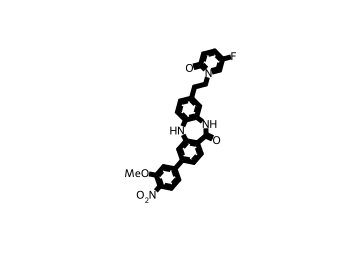 COc1cc(-c2ccc3c(c2)Nc2ccc(CCn4cc(F)ccc4=O)cc2NC3=O)ccc1[N+](=O)[O-]